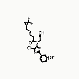 C#CCN(C(=O)CCSCC1CC1(F)F)c1sc(-c2ccc[n+]([O-])c2)nc1Cl